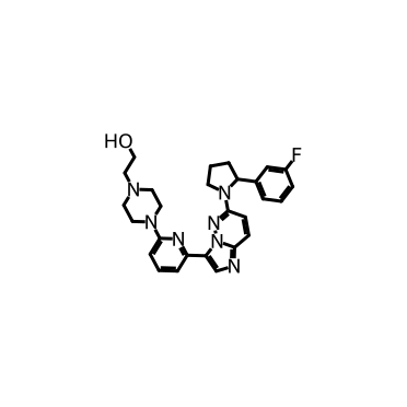 OCCN1CCN(c2cccc(-c3cnc4ccc(N5CCCC5c5cccc(F)c5)nn34)n2)CC1